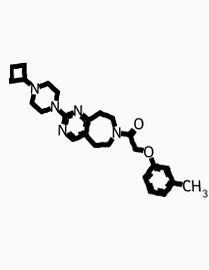 Cc1cccc(OCC(=O)N2CCc3cnc(N4CCN(C5CCC5)CC4)nc3CC2)c1